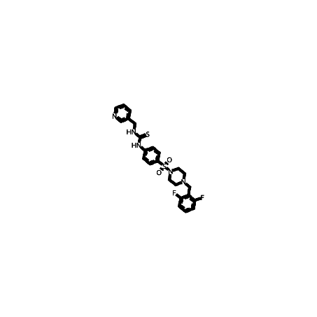 O=S(=O)(c1ccc(NC(=S)NCc2cccnc2)cc1)N1CCN(Cc2c(F)cccc2F)CC1